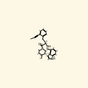 CC#Cc1ccccc1CCC(NSc1cccc2[nH]ccc12)C(=O)N1CCC(C)CC1